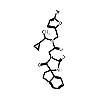 CC(C1CC1)N(Cc1ccc(Br)o1)C(=O)CN1C(=O)NC2(CCc3ccccc32)C1=O